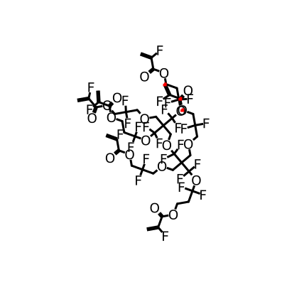 C=C(F)C(=O)OCCC(F)(F)OC(F)(F)C(COCC(F)(F)COC(=O)C(=C)F)(COCC(F)(F)COC(=O)C(=C)F)C(F)(F)OCC(COCC(F)(F)COC(=O)C(=C)F)(C(F)(F)OC(F)(F)CCOC(=O)C(=C)F)C(F)(F)OC(F)(F)CCOC(=O)C(=C)F